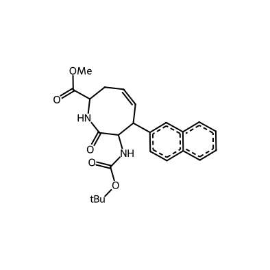 COC(=O)C1C/C=C\C(c2ccc3ccccc3c2)C(NC(=O)OC(C)(C)C)C(=O)N1